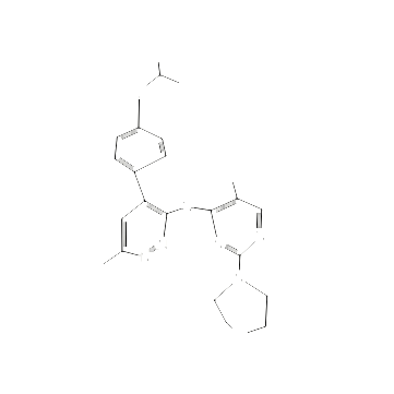 Cc1cc(-c2ccc(OC(F)F)cc2)c(Nc2nc(N3C[C@@H](C)O[C@@H](C)C3)ncc2F)nn1